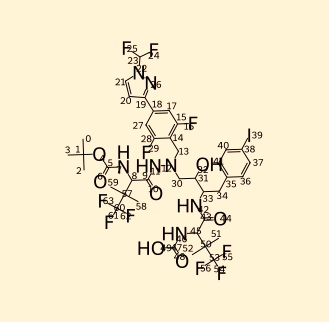 CC(C)(C)OC(=O)NC(C(=O)NN(Cc1c(F)cc(-c2ccn(C(F)F)n2)cc1F)CC(O)C(Cc1ccc(I)cc1)NC(=O)C(NC(=O)O)C(C)(C)C(F)(F)F)C(C)(C)C(F)(F)F